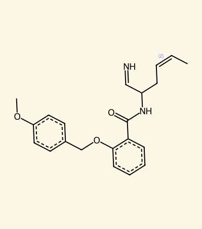 C/C=C\CC(C=N)NC(=O)c1ccccc1OCc1ccc(OC)cc1